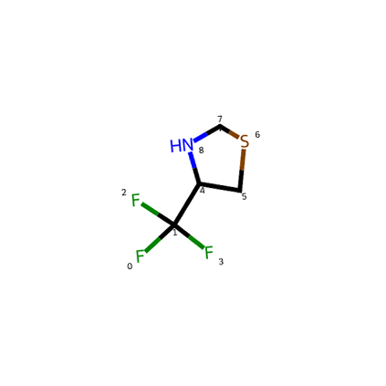 FC(F)(F)C1CS[CH]N1